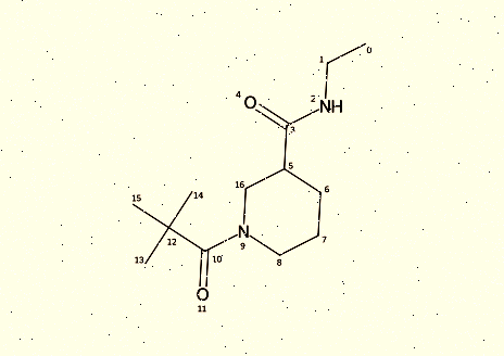 CCNC(=O)C1CCCN(C(=O)C(C)(C)C)C1